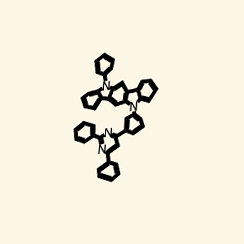 c1ccc(-c2cc(-c3cccc(-n4c5ccccc5c5cc6c(cc54)c4ccccc4n6-c4ccccc4)c3)nc(-c3ccccc3)n2)cc1